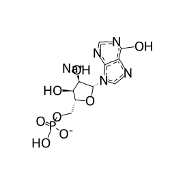 O=P([O-])(O)OC[C@H]1O[C@@H](n2cnc3c(O)ncnc32)[C@H](O)[C@@H]1O.[Na+]